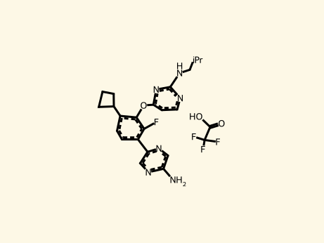 CC(C)CNc1nccc(Oc2c(C3CCC3)ccc(-c3cnc(N)cn3)c2F)n1.O=C(O)C(F)(F)F